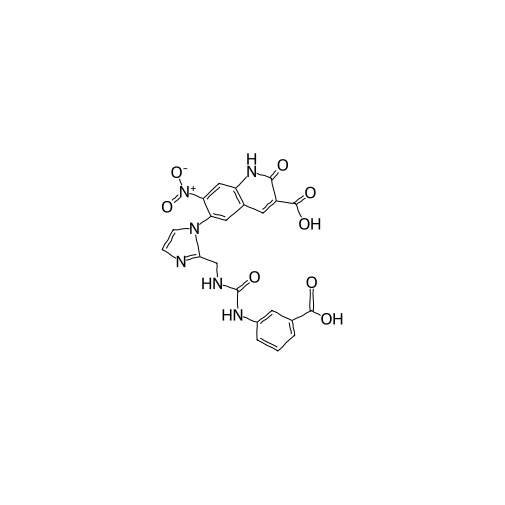 O=C(NCc1nccn1-c1cc2cc(C(=O)O)c(=O)[nH]c2cc1[N+](=O)[O-])Nc1cccc(C(=O)O)c1